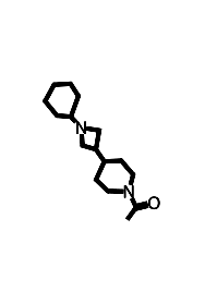 CC(=O)N1CCC(C2CN(C3CCCCC3)C2)CC1